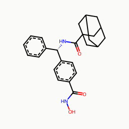 O=C(NO)c1ccc([C@@H](NC(=O)C23CC4CC(CC(C4)C2)C3)c2ccccc2)cc1